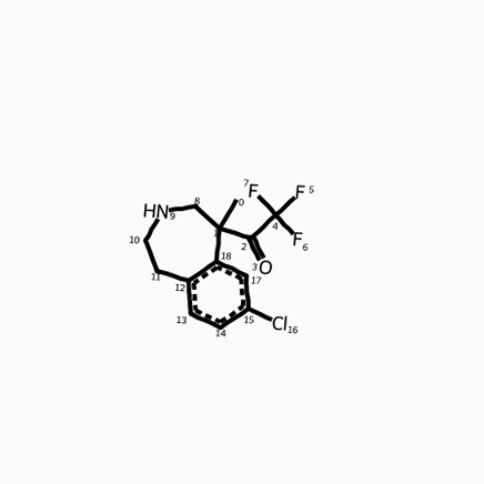 CC1(C(=O)C(F)(F)F)CNCCc2ccc(Cl)cc21